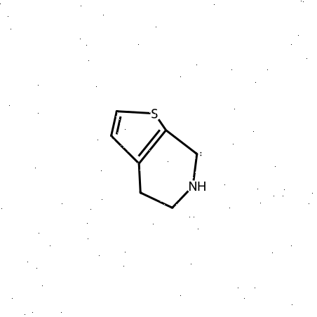 [C]1NCCc2ccsc21